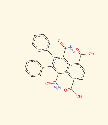 NC(=O)c1c(-c2ccccc2)c(-c2ccccc2)c(C(N)=O)c2c(C(=O)O)ccc(C(=O)O)c12